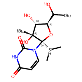 C[SiH](C)[C@@]1(n2ccc(=O)[nH]c2=O)O[C@H](C(O)C(C)(C)C)[C@@H](O)[C@]1(O)C(C)(C)C